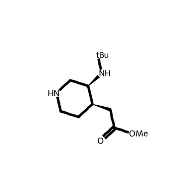 COC(=O)C[C@H]1CCNC[C@H]1NC(C)(C)C